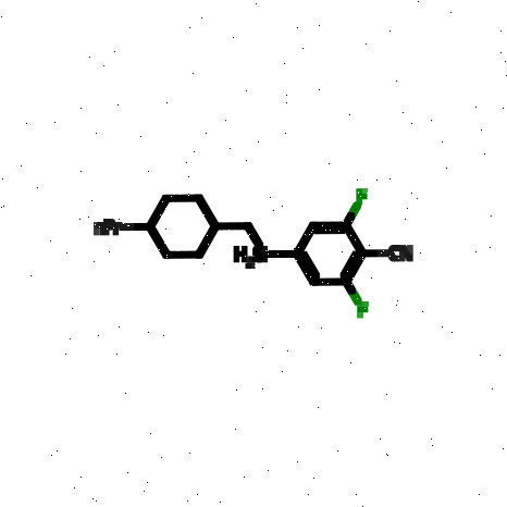 CCCC1CCC(C[SiH2]c2cc(F)c(C#N)c(F)c2)CC1